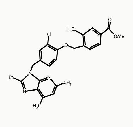 CCc1nc2c(C)cc(C)nc2n1Cc1ccc(OCc2ccc(C(=O)OC)cc2C)c(Cl)c1